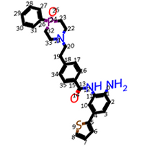 Nc1ccc(-c2cccs2)cc1NC(=O)c1ccc(CCN2CCP(=O)(c3ccccc3)CC2)cc1